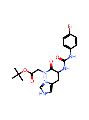 CC(C)(C)OC(=O)CNC(=O)C(Cc1c[nH]cn1)NC(=O)Nc1ccc(Br)cc1